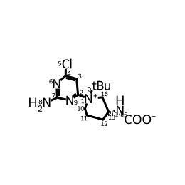 CC(C)(C)[N+]1(c2cc(Cl)nc(N)n2)CCC[C@@H](NC(=O)[O-])C1